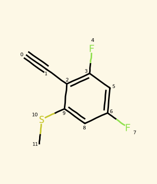 C#Cc1c(F)cc(F)cc1SC